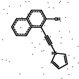 Oc1ccc2ccccc2c1C#C[SH]1C=CC=C1